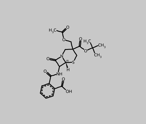 CC(=O)OCC1(C(=O)OC(C)(C)C)CS[C@@H]2C(NC(=O)c3ccccc3C(=O)O)C(=O)N2C1